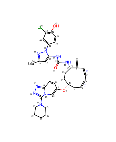 C=C1/C=C\C=C/C[C@H](Oc2ccc3nnc(N4CCCCC4)n3c2)CC[C@@H]1NC(=O)Nc1cc(C(C)(C)C)nn1-c1ccc(O)c(Cl)c1